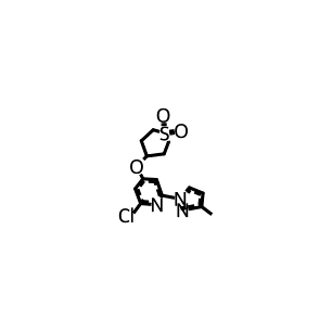 Cc1ccn(-c2cc(OC3CCS(=O)(=O)CC3)cc(Cl)n2)n1